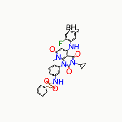 Bc1ccc(Nc2cc(=O)n(C)c3c2c(=O)n(C2CC2)c(=O)n3-c2cccc(NS(=O)(=O)c3ccccc3)c2)c(F)c1